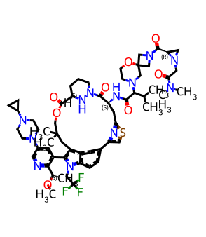 CO[C@@H](C)c1ncc(N2CCN(C3CC3)CC2)cc1-c1c2c3cc(ccc3n1CC(F)(F)F)-c1csc(n1)C[C@H](NC(=O)C(C(C)C)N1CCOC3(CN(C(=O)[C@H]4CN4CC(=O)N(C)C)C3)C1)C(=O)N1CCC[C@H](N1)C(=O)OCC(C)(C)C2